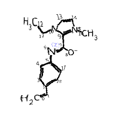 C=Cc1ccc(/N=C(\[O-])c2n(CC)cc[n+]2C)cc1